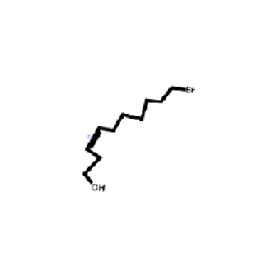 OCC/C=C\CCCCCCBr